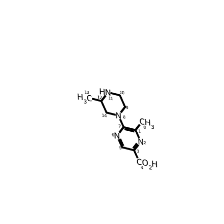 Cc1nc(C(=O)O)cnc1N1CCNC(C)C1